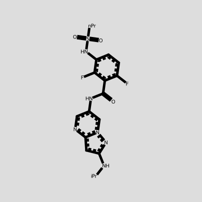 CCCS(=O)(=O)Nc1ccc(F)c(C(=O)Nc2cnc3cc(NC(C)C)nn3c2)c1F